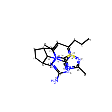 CCCC1=NC2=NC(N)=N[N+]2(C2C3CCC2CN(c2nc(C)ns2)C3)C(C)=C1